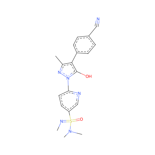 CN=S(=O)(c1ccc(-n2nc(C)c(-c3ccc(C#N)cc3)c2O)nc1)N(C)C